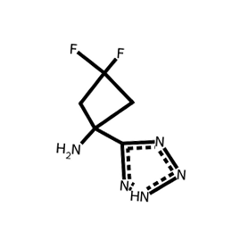 NC1(c2nn[nH]n2)CC(F)(F)C1